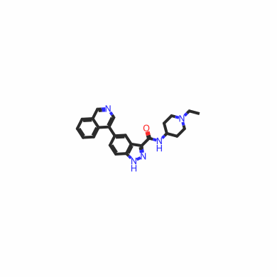 CCN1CCC(NC(=O)c2n[nH]c3ccc(-c4cncc5ccccc45)cc23)CC1